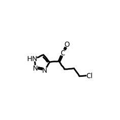 O=C=C(CCCCl)c1c[nH]nn1